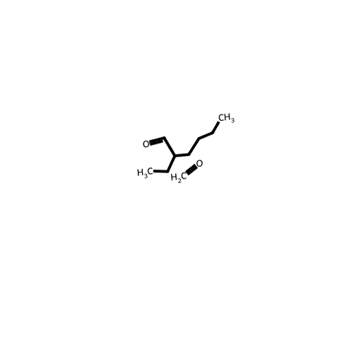 C=O.CCCCC(C=O)CC